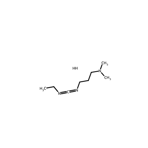 CCN=C=NCCCN(C)C.[HH]